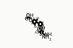 CSc1sc(C(=N)N)cc1S(=O)(=O)c1cccc(-c2c(C)cc(OCC(=O)O)cc2C)c1